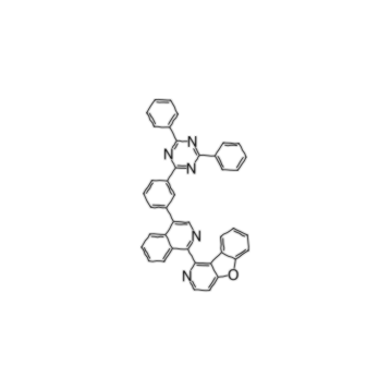 c1ccc(-c2nc(-c3ccccc3)nc(-c3cccc(-c4cnc(-c5nccc6oc7ccccc7c56)c5ccccc45)c3)n2)cc1